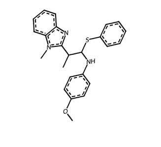 COc1ccc(NC(Sc2ccccc2)C(C)c2nc3ccccc3n2C)cc1